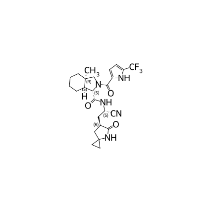 C[C@@]12CCCC[C@@H]1[C@@H](C(=O)N[C@H](C#N)C[C@@H]1CC3(CC3)NC1=O)N(C(=O)c1ccc(C(F)(F)F)[nH]1)C2